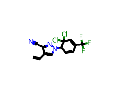 C=Cc1cn(C2C=CC(C(F)(F)F)=CC2(Cl)Cl)nc1C#N